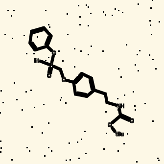 CCP(=O)(COc1ccc(CCNC(=O)OC(C)(C)C)cc1)Oc1ccccc1